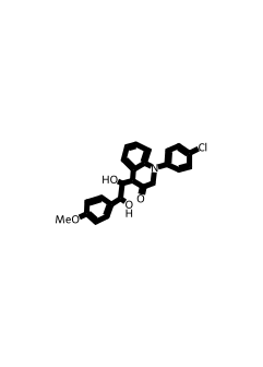 COc1ccc(C(O)C(O)C2C(=O)CN(c3ccc(Cl)cc3)c3ccccc32)cc1